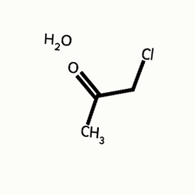 CC(=O)CCl.O